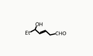 CCC(O)C=CCC=O